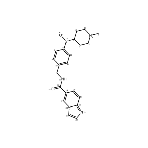 CN1CCC([S+]([O-])c2ccc(CNC(=O)c3ccc4nccn4c3)cc2)CC1